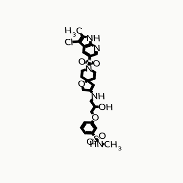 CNS(=O)(=O)c1cccc(OCC(O)CNC2COC3(CCN(S(=O)(=O)c4cnc5[nH]c(C)c(Cl)c5c4)CC3)C2)c1